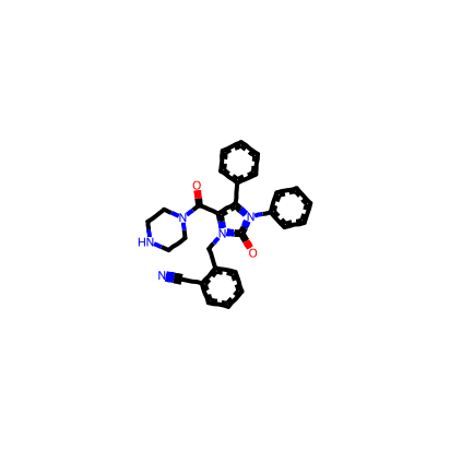 N#Cc1ccccc1Cn1c(C(=O)N2CCNCC2)c(-c2ccccc2)n(-c2ccccc2)c1=O